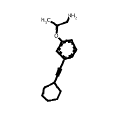 CC(CN)Oc1cccc(C#CC2CCCCC2)c1